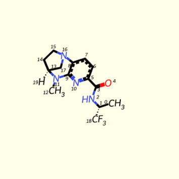 C[C@@H](NC(=O)c1ccc2c(n1)N(C)[C@H]1CCN2C1)C(F)(F)F